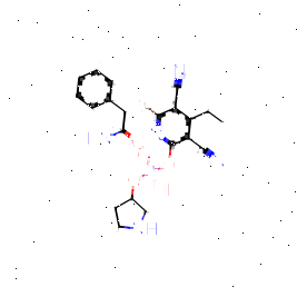 CCc1c(C#N)c(OP(=O)(O)OC2CCNC2)nc(S[C@H](C(N)=O)c2ccccc2)c1C#N